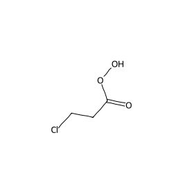 O=C(CCCl)OO